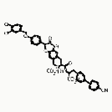 N#Cc1ccc(-c2ccc(C[C@H](NC(=O)C3Cc4cc5c(cc4CN3C(=O)O)OC(c3ccc(OCc4ccc(Cl)c(Cl)c4)cc3)C(=O)N5)C(=O)O)cc2)cc1